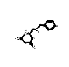 O=C1CC(=O)NC(COCc2ccccc2)C1